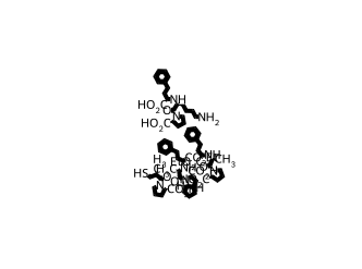 CCOC(=O)[C@H](CCc1ccccc1)N[C@@H](C)C(=O)N1CCC[C@H]1C(=O)O.CCOC(=O)[C@H](CCc1ccccc1)N[C@@H](C)C(=O)N1[C@H](C(=O)O)C[C@@H]2CCC[C@@H]21.C[C@H](CS)C(=O)N1CCC[C@H]1C(=O)O.NCCCC[C@H](N[C@@H](CCc1ccccc1)C(=O)O)C(=O)N1CCC[C@H]1C(=O)O